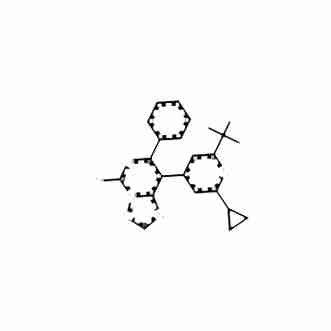 Nc1nc(-c2ccccc2)c(-c2cc(C3CC3)nc(C(F)(F)F)c2)c2ncnn12